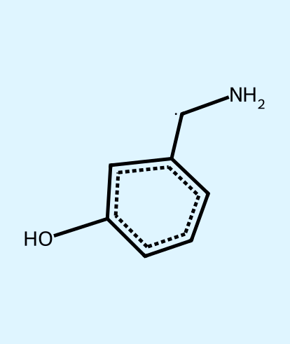 N[CH]c1cccc(O)c1